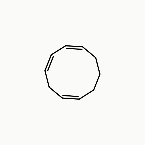 [CH]1C=CCC=CC=CCC1